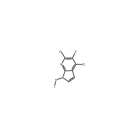 Fc1c(Cl)nc2c(ccn2SI)c1Cl